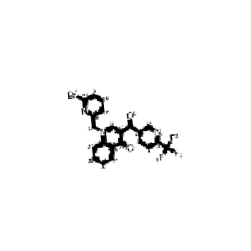 O=C(c1ccc(C(F)(F)F)nc1)c1cn(Cc2cccc(Br)n2)c2ccccc2c1=O